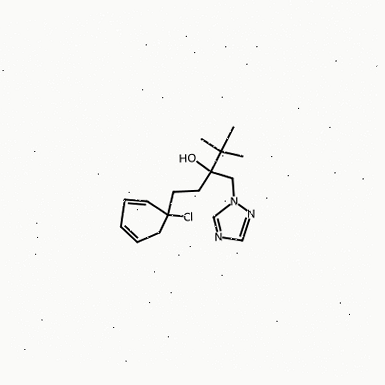 CC(C)(C)C(O)(CCC1(Cl)C=CC=CC1)Cn1cncn1